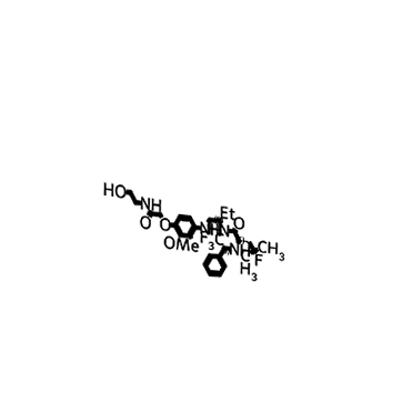 CC[C@@H](CNc1ccc(OCC(=O)NCCO)cc1OC)NC(=O)[C@H](CC(C)(C)F)N[C@@H](c1ccccc1)C(F)(F)F